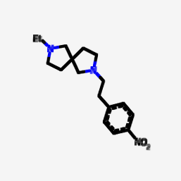 CCN1CCC2(CCN(CCc3ccc([N+](=O)[O-])cc3)C2)C1